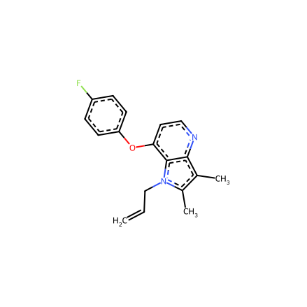 C=CCn1c(C)c(C)c2nccc(Oc3ccc(F)cc3)c21